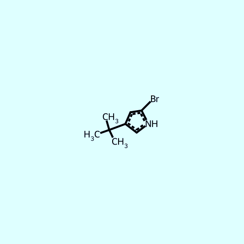 CC(C)(C)c1c[nH]c(Br)c1